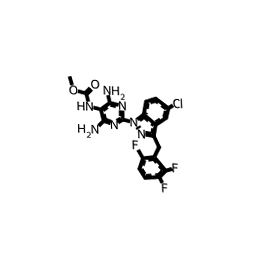 COC(=O)Nc1c(N)nc(-n2nc(Cc3c(F)ccc(F)c3F)c3cc(Cl)ccc32)nc1N